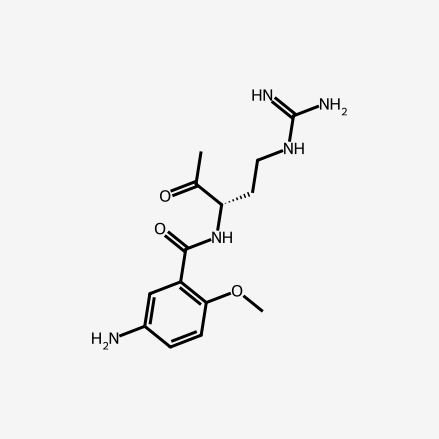 COc1ccc(N)cc1C(=O)N[C@@H](CCNC(=N)N)C(C)=O